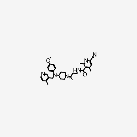 COc1ccc(N(Cc2cnccc2C)C2CCN([C@H](C)CCNC(=O)c3c(C)cc(C#N)nc3C)CC2)cc1